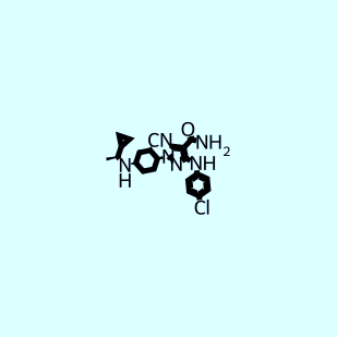 C[C@H](N[C@H]1CC[C@H](n2cc(C(N)=O)c(Nc3ccc(Cl)cc3)n2)[C@@H](C#N)C1)C1CC1